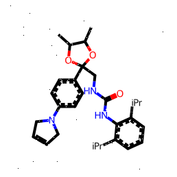 CC(C)c1cccc(C(C)C)c1NC(=O)NCC1(c2ccc(N3CC=CC3)cc2)OC(C)C(C)O1